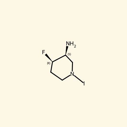 N[C@H]1CN(I)CC[C@H]1F